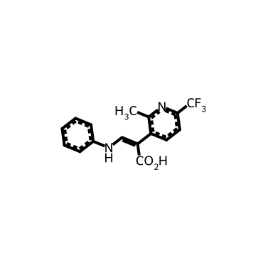 Cc1nc(C(F)(F)F)ccc1C(=CNc1ccccc1)C(=O)O